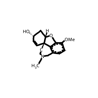 COc1[c][c]c2c3c1O[C@H]1C[C@@H](O)C=C[C@@]31CCN(C)C2